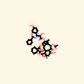 CC(=O)O[C@H]1C(=O)[C@@]2(C)[C@H]([C@H](OC(=O)c3ccccc3)[C@]3(O)C[C@H](OC(=O)[C@H](O)[C@@H](NC(=O)c4ccccc4)c4ccc(O)cc4)C(C)=C1C3(C)C)[C@]1(OC(C)=O)CO[C@@H]1C[C@@H]2O